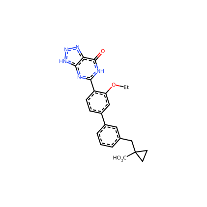 CCOc1cc(-c2cccc(CC3(C(=O)O)CC3)c2)ccc1-c1nc2[nH]nnc2c(=O)[nH]1